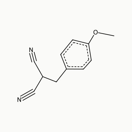 COc1ccc(CC(C#N)C#N)cc1